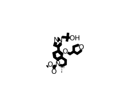 COC(=O)N1c2ccc(-c3cnn(CC(C)(C)O)c3)c(OCC3CCOCC3)c2CC[C@@H]1C